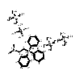 CN(C)CC[PH](c1ccccc1)(c1ccccc1)c1ccccc1.F[B-](F)(F)F.F[B-](F)(F)F.F[B-](F)(F)F.F[B-](F)(F)F